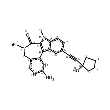 CCCN1Cc2cnc(N)nc2-c2c(n(C)c3ccc(C#CC4(O)CCCC4)cc23)C1=O